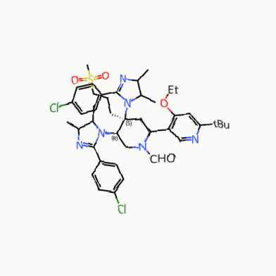 CCOc1cc(C(C)(C)C)ncc1C1C[C@](CCCS(C)(=O)=O)(N2C(c3ccc(Cl)cc3)=NC(C)C2C)[C@H](N2C(c3ccc(Cl)cc3)=NC(C)C2C)CN1C=O